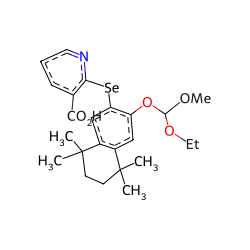 CCOC(OC)Oc1cc2c(cc1[Se]c1ncccc1C(=O)O)C(C)(C)CCC2(C)C